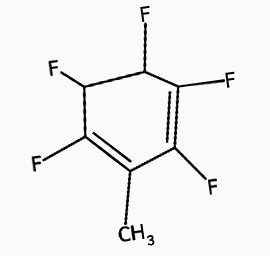 CC1=C(F)C(F)C(F)C(F)=C1F